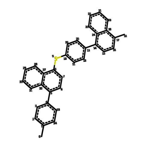 Cc1ccc(-c2ccc(Sc3ccc(-c4ccc(C)c5ccccc45)cc3)c3ccccc23)cc1